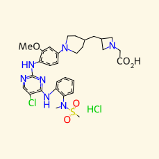 COc1cc(N2CCC(CC3CN(CC(=O)O)C3)CC2)ccc1Nc1ncc(Cl)c(Nc2ccccc2N(C)S(C)(=O)=O)n1.Cl